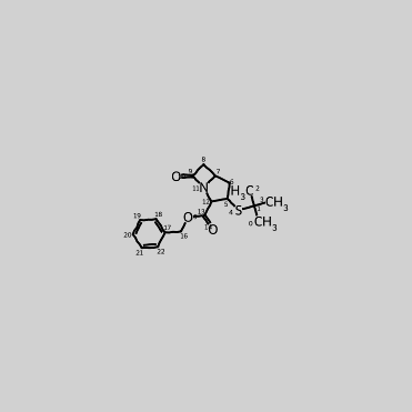 CC(C)(C)SC1CC2CC(=O)N2C1C(=O)OCc1ccccc1